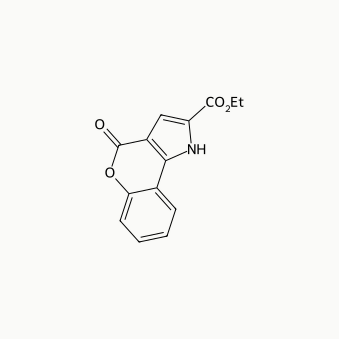 CCOC(=O)c1cc2c(=O)oc3ccccc3c2[nH]1